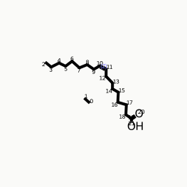 CC.CCCCCCCC/C=C\CCCCCCCC(=O)O